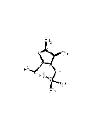 CC1[C@H](C)O[C@H](CO)[C@@H]1O[Si](C)(C)C(C)(C)C